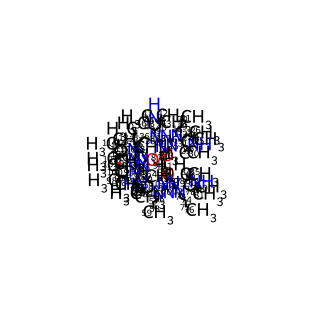 CCCCN(c1nc(OCC(C)(COc2nc(N(CCCC)C3CC(C)(C)NC(C)(C)C3)nc(N(CCCC)C3CC(C)(C)NC(C)(C)C3)n2)COc2nc(N(CCCC)C3CC(C)(C)NC(C)(C)C3)nc(N(CCCC)C3CC(C)(C)NC(C)(C)C3)n2)nc(N(CCCC)C2CC(C)(C)CC(C)(C)C2)n1)C1CC(C)(C)CC(C)(C)C1